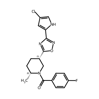 C[C@@H]1CC[C@H](c2nc(-c3cc(Cl)c[nH]3)no2)CN1C(=O)c1ccc(F)cc1